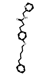 O=C(CCc1ccc(OCCCCCc2ccccc2)cc1)NCc1ccccn1